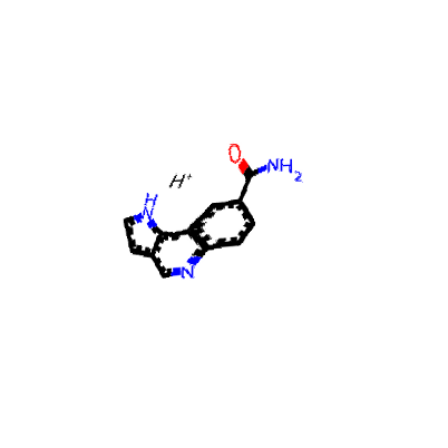 NC(=O)c1ccc2ncc3cc[nH]c3c2c1.[H+]